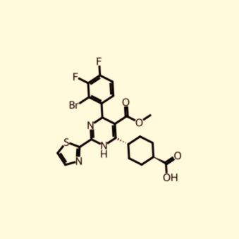 COC(=O)C1=C([C@H]2CC[C@H](C(=O)O)CC2)NC(c2nccs2)=NC1c1ccc(F)c(F)c1Br